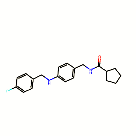 O=C(NCc1ccc(NCc2ccc(F)cc2)cc1)C1CCCC1